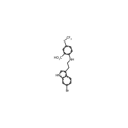 O=C(O)c1cc(SC(F)(F)F)ccc1NCCc1c[nH]c2cc(Br)ccc12